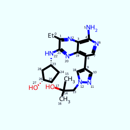 CCc1nc2c(N)ncc(-c3cnn(CC(C)(C)O)c3)c2nc1N[C@@H]1CC[C@H](O)C1